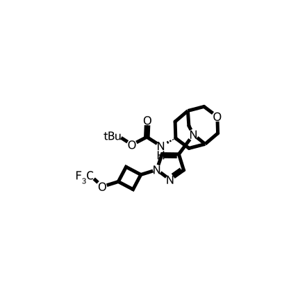 CC(C)(C)OC(=O)N[C@@H]1CC2COCC(C1)N(c1cnn(C3CC(OC(F)(F)F)C3)c1)C2